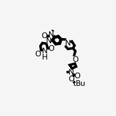 Cn1c(=O)n(C2CCC(=O)NC2=O)c2ccc(CN3CCC(CCO[C@H]4C[C@H](N(C)C(=O)OC(C)(C)C)C4)CC3)cc21